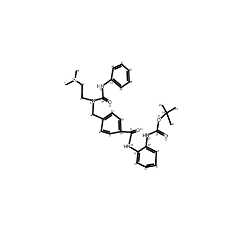 CN(C)CCN(Cc1ccc(C(=O)Nc2ccccc2NC(=O)OC(C)(C)C)cc1)C(=O)Nc1ccccc1